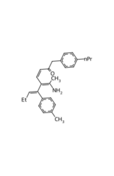 CC/C=C(C(/C=C\C(=O)Cc1ccc(CCC)cc1)=C(/C)N)\c1ccc(C)cc1